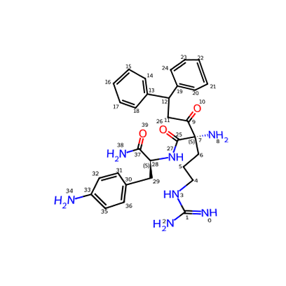 N=C(N)NCCC[C@](N)(C(=O)CC(c1ccccc1)c1ccccc1)C(=O)N[C@@H](Cc1ccc(N)cc1)C(N)=O